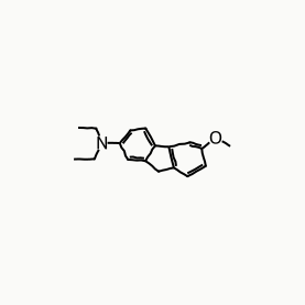 CCN(CC)c1ccc2c(c1)Cc1ccc(OC)cc1-2